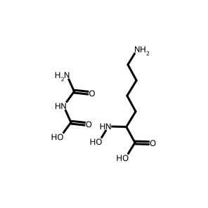 NC(=O)NC(=O)O.NCCCCC(NO)C(=O)O